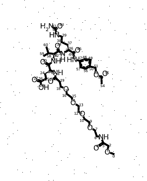 COCC(=O)NCCOCCOCCOCCOCCC(=O)N[C@@H](CCC(=O)O)C(=O)N[C@H](C(=O)N[C@@H](CCCNC(N)=O)C(=O)Nc1ccc(COC(C)=O)cc1)C(C)C